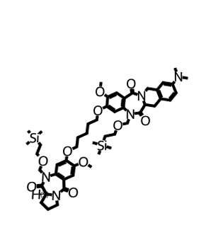 COc1cc2c(cc1OCCCCCOc1cc3c(cc1OC)C(=O)N1CCC[C@H]1C(=O)N3COCC[Si](C)(C)C)N(COCC[Si](C)(C)C)C(=O)C1Cc3ccc(N(C)C)cc3CN1C2=O